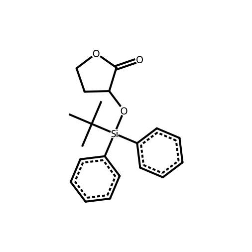 CC(C)(C)[Si](OC1CCOC1=O)(c1ccccc1)c1ccccc1